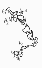 CC(C)(O)c1cc2nc(C3CCN(C4CCN(C(=O)[C@@H]5CCN(c6cc(F)c([C@H]7CCC(=O)NC7=O)c(F)c6)C5)CC4)CC3)cn2cc1-c1ccc(C(F)(F)F)nc1C(N)=O